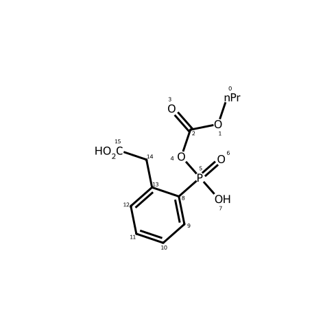 CCCOC(=O)OP(=O)(O)c1ccccc1CC(=O)O